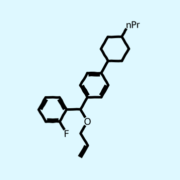 C=CCOC(c1ccc(C2CCC(CCC)CC2)cc1)c1ccccc1F